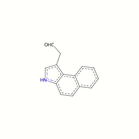 O=CCc1c[nH]c2ccc3ccccc3c12